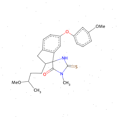 COc1cccc(Oc2ccc3c(c2)C2(NC(=S)N(C)C2=O)C(CCC(C)OC)C3)c1